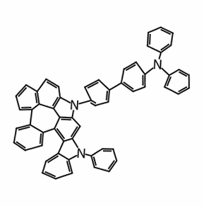 c1ccc(N(c2ccccc2)c2ccc(-c3ccc(-n4c5cc6c(c7c5c5c8c(cccc8ccc54)-c4ccccc4-7)c4ccccc4n6-c4ccccc4)cc3)cc2)cc1